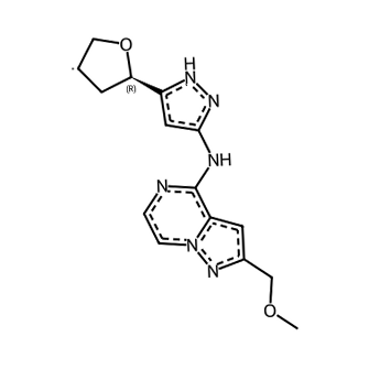 COCc1cc2c(Nc3cc([C@H]4C[CH]CO4)[nH]n3)nccn2n1